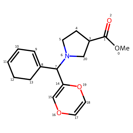 COC(=O)C1CCN(C(C2=CC=CCC2)C2=COC=CO2)C1